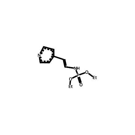 CCOP(=O)(N/C=C/c1ccncc1)OCC